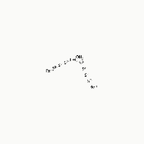 O.O.[Re+7].[Re+7].[S-2].[S-2].[S-2].[S-2].[S-2].[S-2].[S-2]